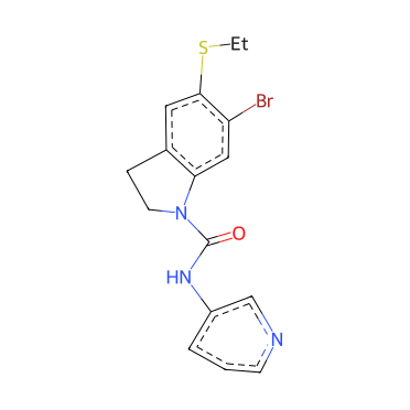 CCSc1cc2c(cc1Br)N(C(=O)Nc1cccnc1)CC2